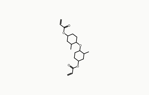 C=CC(=O)OC1CCC(OC2CCC(OC(=O)C=C)CC2C)C(C)C1